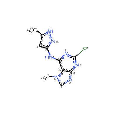 Cc1cc(Nc2nc(Cl)nc3ncn(C)c23)n[nH]1